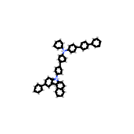 c1ccc(-c2ccc(-c3ccc(N(c4ccccc4)c4ccc(-c5ccc(-n6c7ccc(-c8ccccc8)cc7c7c8ccccc8ccc76)cc5)cc4)cc3)cc2)cc1